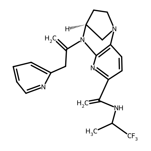 C=C(NC(C)C(F)(F)F)c1ccc2c(n1)N(C(=C)Cc1ccccn1)[C@H]1CCN2C1